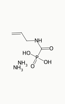 C=CCNC(=O)P(=O)(O)O.N.N